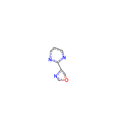 [c]1cnc(-c2cocn2)nc1